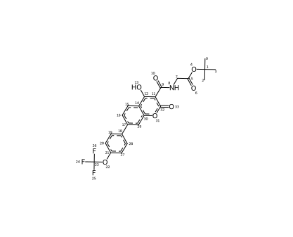 CC(C)(C)OC(=O)CNC(=O)c1c(O)c2ccc(-c3ccc(OC(F)(F)F)cc3)cc2oc1=O